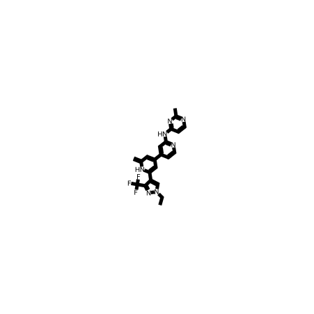 C=C1C=C(c2ccnc(Nc3ccnc(C)n3)c2)C=C(c2cn(CC)nc2C(F)(F)F)N1